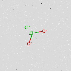 [Cl+].[O-][Cl+][O-]